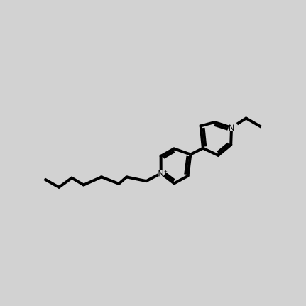 CCCCCCCC[n+]1ccc(-c2cc[n+](CC)cc2)cc1